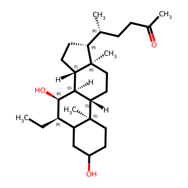 CC[C@@H]1C2CC(O)CC[C@]2(C)[C@H]2CC[C@]3(C)[C@@H]([C@H](C)CCC(C)=O)CC[C@H]3[C@@H]2[C@@H]1O